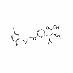 C[C@H](C(=O)O)[C@H](c1cccc(OC[C@H]2C[C@@H]2c2cc(F)ccc2F)c1)C1CC1